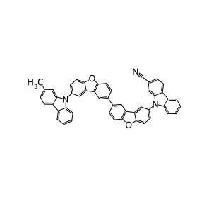 Cc1ccc2c3ccccc3n(-c3ccc4oc5ccc(-c6ccc7oc8ccc(-n9c%10ccccc%10c%10ccc(C#N)cc%109)cc8c7c6)cc5c4c3)c2c1